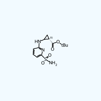 CC(C)(C)OC(=O)[C@H]1CC1Nc1cccc(S(N)(=O)=O)n1